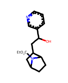 CCOC(=O)N1C2CCC1C(CC(O)c1cccnc1)C2